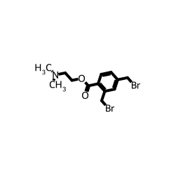 CN(C)CCOC(=O)c1ccc(CBr)cc1CBr